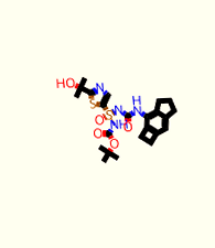 CC(C)(C)OC(=O)N[S@](=O)(=NC(=O)Nc1c2c(cc3c1CC3)CCC2)c1cnc(C(C)(C)O)s1